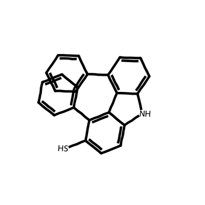 Sc1ccc2[nH]c3cccc(-c4ccccc4)c3c2c1-c1ccccc1